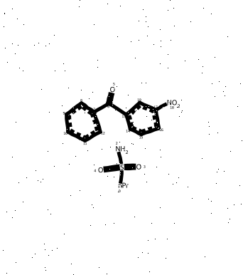 CCCS(N)(=O)=O.O=C(c1ccccc1)c1cccc([N+](=O)[O-])c1